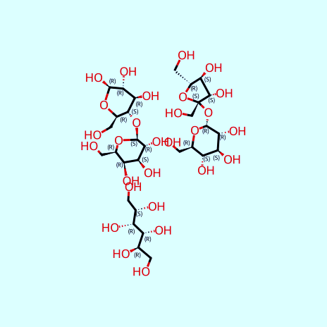 OC[C@@H](O)[C@@H](O)[C@H](O)[C@@H](O)CO.OC[C@H]1O[C@@H](O[C@H]2[C@H](O)[C@@H](O)[C@H](O)O[C@@H]2CO)[C@H](O)[C@@H](O)[C@H]1O.OC[C@H]1O[C@@](CO)(O[C@H]2O[C@H](CO)[C@@H](O)[C@H](O)[C@H]2O)[C@@H](O)[C@@H]1O